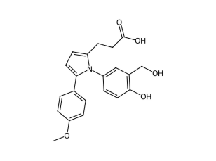 COc1ccc(-c2ccc(CCC(=O)O)n2-c2ccc(O)c(CO)c2)cc1